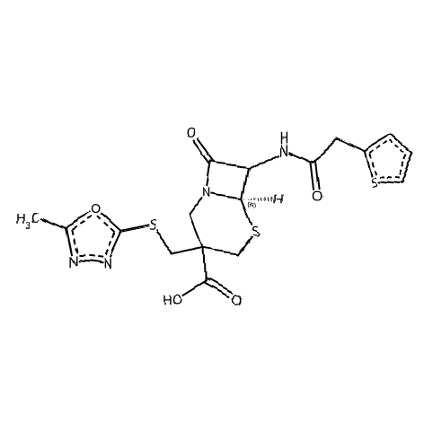 Cc1nnc(SCC2(C(=O)O)CS[C@@H]3C(NC(=O)Cc4cccs4)C(=O)N3C2)o1